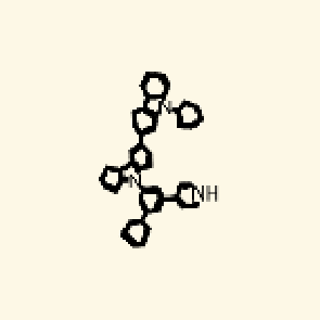 C1=CCC(c2cc(C3=CCNC=C3)cc(N3c4ccc(C5=CC6=C(CC5)C5C=CC=CC5N6C5=CCCCC5)cc4C4CCC=CC43)c2)C=C1